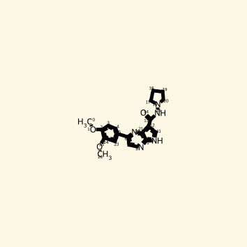 COc1ccc(-c2cnc3[nH]cc(C(=O)NN4CCCC4)c3n2)cc1OC